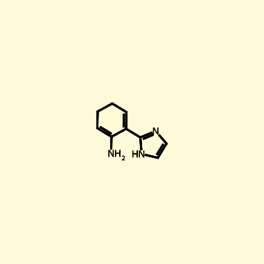 NC1=CCCC=C1c1ncc[nH]1